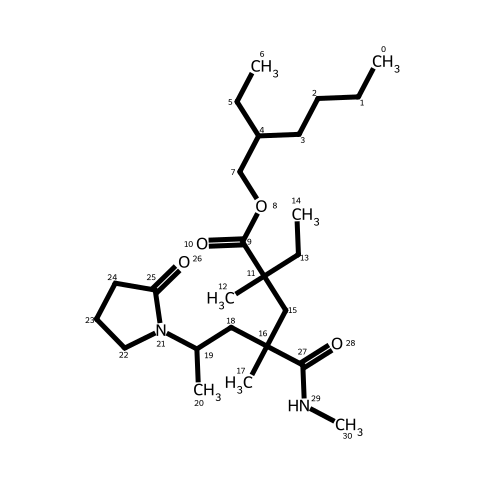 CCCCC(CC)COC(=O)C(C)(CC)CC(C)(CC(C)N1CCCC1=O)C(=O)NC